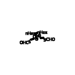 CCCCCCC(CCCCCC)P(=O)(OCCSC=O)OCCSC=O